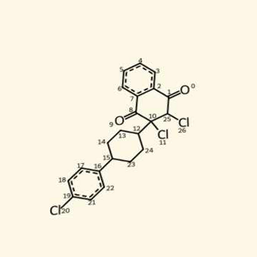 O=C1c2ccccc2C(=O)C(Cl)(C2CCC(c3ccc(Cl)cc3)CC2)C1Cl